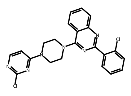 Clc1nccc(N2CCN(c3nc(-c4ccccc4Cl)nc4ccccc34)CC2)n1